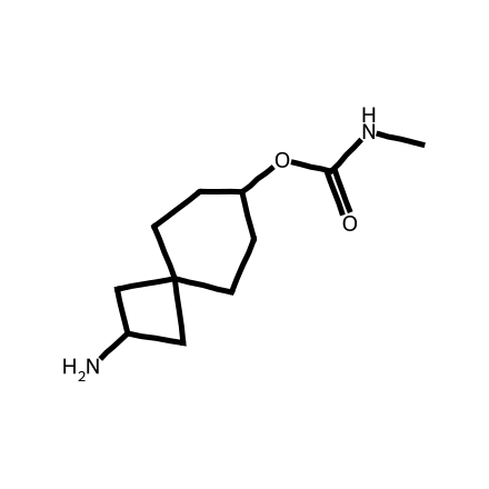 CNC(=O)OC1CCC2(CC1)CC(N)C2